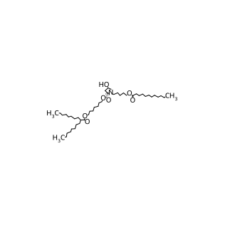 CCCCCCCCCCCC(=O)OCCCCCN1CC(O)C[C@H]1C(=O)OCCCCCCCOC(=O)C(CCCCCCCC)CCCCCCCC